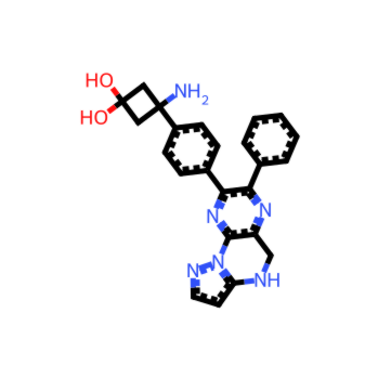 NC1(c2ccc(-c3nc4c(nc3-c3ccccc3)CNc3ccnn3-4)cc2)CC(O)(O)C1